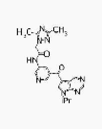 Cc1nc(C)n(CC(=O)Nc2cncc(C(=O)c3cn(C(C)C)c4ncncc34)c2)n1